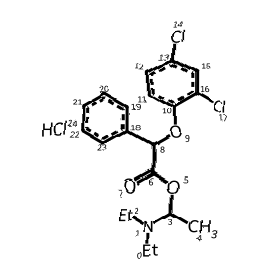 CCN(CC)C(C)OC(=O)C(Oc1ccc(Cl)cc1Cl)c1ccccc1.Cl